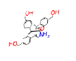 C[C@@H](c1ccc(CO)cc1)C(C(N)=O)([C@@H](C)c1ccc(CO)cc1)[C@@H](C)c1ccc(CO)cc1